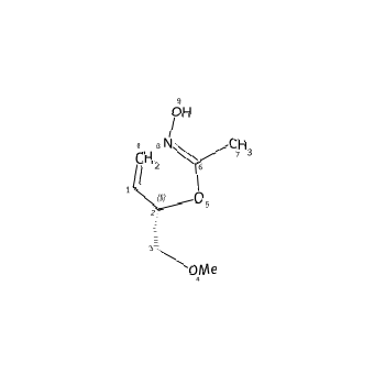 C=C[C@@H](COC)OC(C)=NO